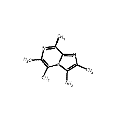 Cc1nc(C)c2nc(C)c(N)n2c1C